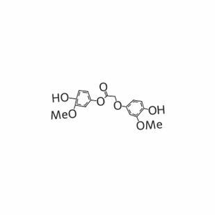 COc1cc(OCC(=O)Oc2ccc(O)c(OC)c2)ccc1O